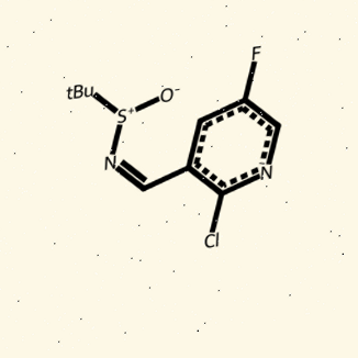 CC(C)(C)[S+]([O-])/N=C\c1cc(F)cnc1Cl